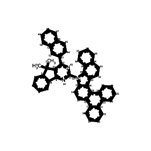 CC1(C)c2ccccc2-c2nc(-n3c4ccc5c6ccccc6c6ccccc6c5c4c4ccc5ccccc5c43)nc(-c3ccc4ccccc4c3)c21